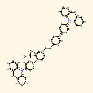 CC1(C)c2cc(/C=C/c3ccc(-c4ccc(N5c6ccccc6Cc6ccccc65)cc4)cc3)ccc2-c2ccc(N3c4ccccc4Cc4ccccc43)cc21